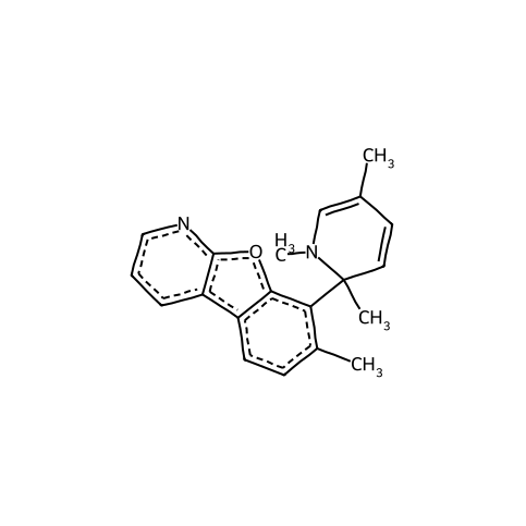 CC1=CN(C)C(C)(c2c(C)ccc3c2oc2ncccc23)C=C1